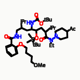 CCN(C(=O)C(CC(O[Si](C)(C)C(C)(C)C)C(CC(CNC(=O)c1ccccc1OCCCCOC)C(C)C)NC(=O)OC(C)(C)C)C(C)C)N1CCC(C(C)=O)CC1